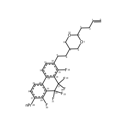 C=CCCC1OCC(CCc2ccc3c(c2F)C(F)(F)C(F)(F)c2c-3ccc(CCC)c2F)CO1